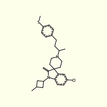 C=C1N(C2CC(C)C2)c2ccc(Cl)cc2C12CCN(C(C)CCc1ccc(SC)cc1)CC2